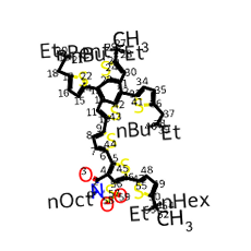 CCCCCCCCN1C(=O)c2c(-c3ccc(-c4cc5c(-c6ccc(CC(CC)CCCC)s6)c6sc(C(C)(CC)CCCCC)cc6c(-c6ccc(CC(CC)CCCC)s6)c5s4)s3)sc(-c3ccc(C(C)(CC)CCCCCC)s3)c2S1(=O)=O